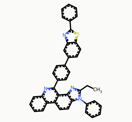 CCc1nc2c3c(-c4ccc(-c5ccc6sc(-c7ccccc7)nc6c5)cc4)nc4ccccc4c3ccc2n1-c1ccccc1